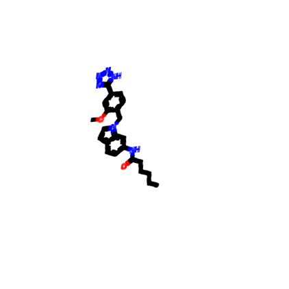 CCCCCC(=O)Nc1ccc2ccn(Cc3ccc(-c4nnn[nH]4)cc3OC)c2c1